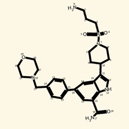 NCCCS(=O)(=O)N1CCC(c2c[nH]c3c(C(N)=O)cc(-c4ccc(CN5CCOCC5)cc4)cc23)CC1